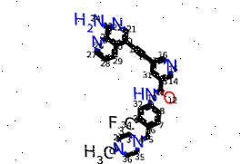 CN1CCN(Cc2ccc(NC(=O)c3cncc(C#Cc4cnc(N)c5ncccc45)c3)cc2C(F)(F)F)CC1